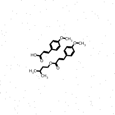 COc1ccc(/C=C/C(=O)O)cc1.COc1ccc(C=CC(=O)OCCC(C)C)cc1